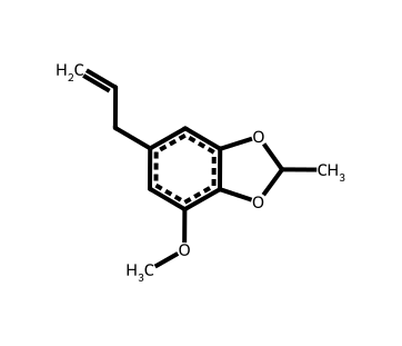 C=CCc1cc(OC)c2c(c1)OC(C)O2